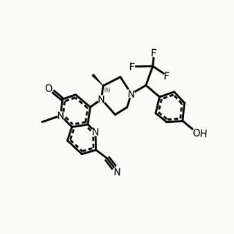 C[C@H]1CN(C(c2ccc(O)cc2)C(F)(F)F)CCN1c1cc(=O)n(C)c2ccc(C#N)nc12